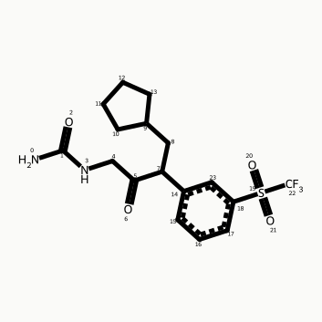 NC(=O)NCC(=O)C(CC1CCCC1)c1cccc(S(=O)(=O)C(F)(F)F)c1